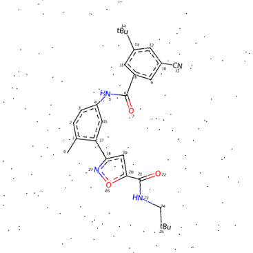 Cc1ccc(NC(=O)c2cc(C#N)cc(C(C)(C)C)c2)cc1-c1cc(C(=O)NCC(C)(C)C)on1